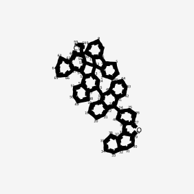 c1ccc2c(c1)-c1ccccc1C21c2cc(-c3c4ccccc4c(-c4ccc5oc6ccc7ccccc7c6c5c4)c4ccccc34)c3ccccc3c2-c2c1c1ccccc1c1ccccc21